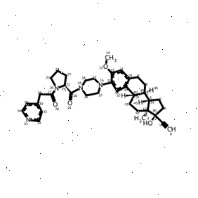 C#C[C@@]1(O)CC[C@H]2[C@@H]3CCc4cc(OC)c(N5CCN(C(=O)[C@@H]6CCCN6C(=O)Cc6ccncc6)CC5)cc4[C@H]3CC[C@@]21C